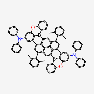 Cc1cccc(C)c1-c1cc2c3c(cc4c(-c5c(C)cccc5C)cc5c6c(cc1c3c46)B1c3ccccc3Oc3cc(N(c4ccccc4)c4ccccc4)cc-5c31)B1c3ccccc3Oc3cc(N(c4ccccc4)c4ccccc4)cc-2c31